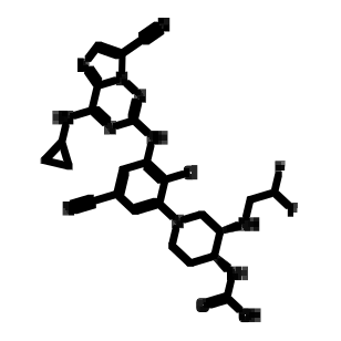 N#Cc1cc(Nc2nc(NC3CC3)c3ncc(C#N)n3n2)c(Cl)c(N2CC[C@H](NC(=O)O)[C@H](NCC(F)F)C2)c1